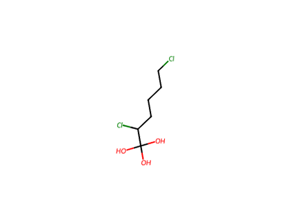 OC(O)(O)C(Cl)CCCCCl